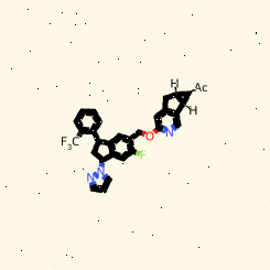 CC(=O)[C@H]1[C@@H]2Cc3cc(OCc4cc5c(cc4F)C(n4cccn4)CC5c4ccccc4C(F)(F)F)ncc3[C@@H]21